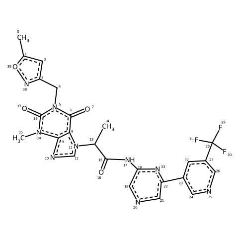 Cc1cc(Cn2c(=O)c3c(ncn3C(C)C(=O)Nc3cncc(-c4cncc(C(F)(F)F)c4)n3)n(C)c2=O)no1